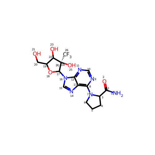 NC(=O)C1CCCN1c1ncnc2c1ncn2C1OC(CO)C(O)[C@]1(O)C(F)(F)F